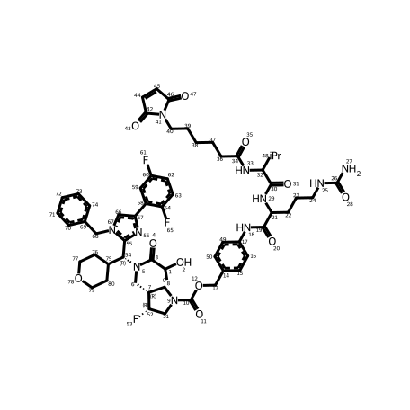 CC(O)C(=O)N(C[C@@H]1CN(C(=O)OCc2ccc(NC(=O)C(CCCNC(N)=O)NC(=O)C(NC(=O)CCCCCN3C(=O)C=CC3=O)C(C)C)cc2)C[C@@H]1F)[C@@H](c1nc(-c2cc(F)ccc2F)cn1Cc1ccccc1)C1CCOCC1